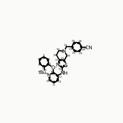 CC(C)(C)c1ccccc1Oc1ncccc1Nc1nc2c(s1)CN(Cc1ccc(C#N)cc1)CC2